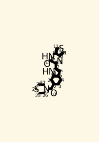 O=C(c1ccc2cc(-c3nc4cscc4[nH]c3=O)[nH]c2c1)N1CCSCC1